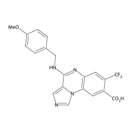 COc1ccc(CNc2nc3cc(C(F)(F)F)c(C(=O)O)cc3n3cncc23)cc1